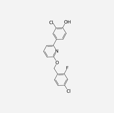 Oc1ccc(-c2cccc(OCc3ccc(Cl)cc3F)n2)cc1Cl